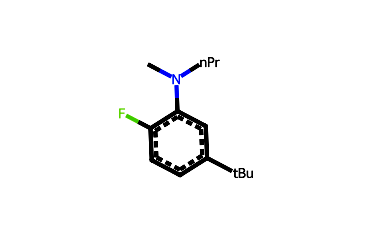 CCCN(C)c1cc(C(C)(C)C)ccc1F